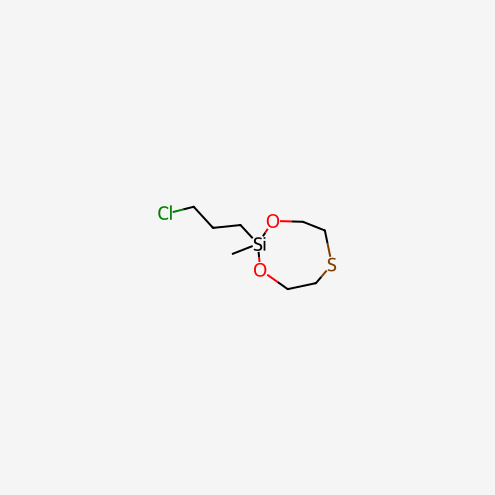 C[Si]1(CCCCl)OCCSCCO1